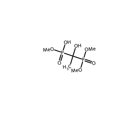 COP(=O)(O)C(C)(O)P(=O)(OC)OC